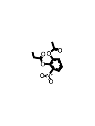 CCC(=O)Oc1c(OC(C)=O)cccc1[N+](=O)[O-]